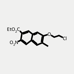 CCOC(=O)c1cc2cc(OCCCl)c(C)cc2cc1[N+](=O)[O-]